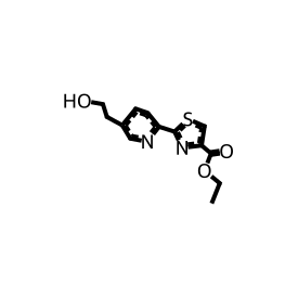 CCOC(=O)c1csc(-c2ccc(CCO)cn2)n1